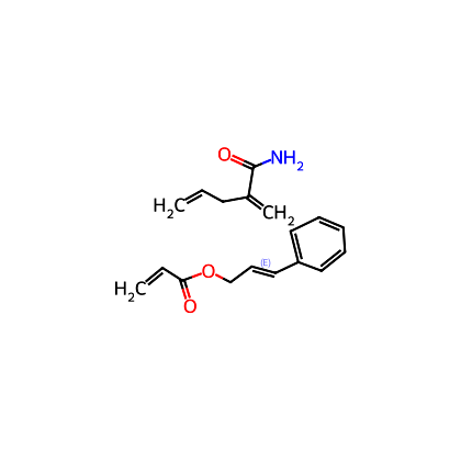 C=CC(=O)OC/C=C/c1ccccc1.C=CCC(=C)C(N)=O